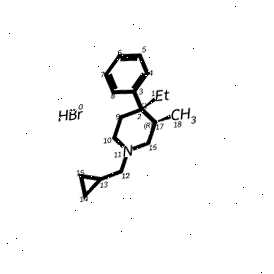 Br.CC[C@]1(c2ccccc2)CCN(CC2CC2)C[C@@H]1C